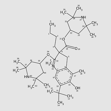 CCCCC(Cc1c(C)cc(C(C)(C)C)c(O)c1C)(C(=O)OC1CC(C)(C)NC(C)(C)C1)C(=O)OC1CC(C)(C)NC(C)(C)C1